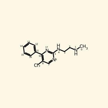 CNCCNc1ncc(Cl)c(-c2ccccc2)n1